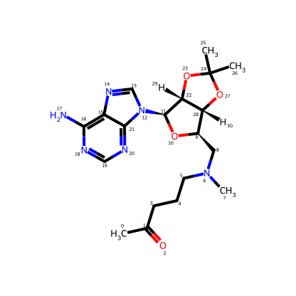 CC(=O)CCCN(C)C[C@H]1O[C@@H](n2cnc3c(N)ncnc32)[C@@H]2OC(C)(C)O[C@@H]21